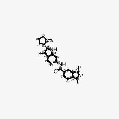 Cc1nn(C)c2cc(C(=O)Nc3cc4[nH]c([C@H]5CCCN5C)c(F)c4cn3)ccc12